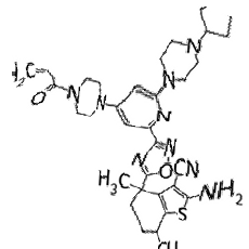 C=CC(=O)N1CCN(c2cc(-c3noc(C4(C)CCC(C)c5sc(N)c(C#N)c54)n3)nc(N3CCN(C4CCCC4)CC3)c2)CC1